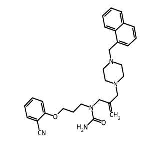 C=C(CN1CCN(Cc2cccc3ccccc23)CC1)CN(CCCOc1ccccc1C#N)C(N)=O